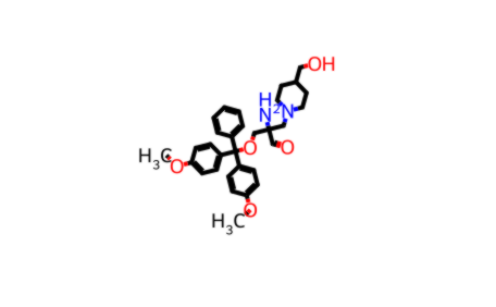 COc1ccc(C(OCC(N)(C=O)CN2CCC(CO)CC2)(c2ccccc2)c2ccc(OC)cc2)cc1